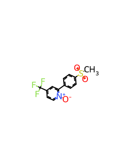 CS(=O)(=O)c1ccc(-c2cc(C(F)(F)F)cc[n+]2[O-])cc1